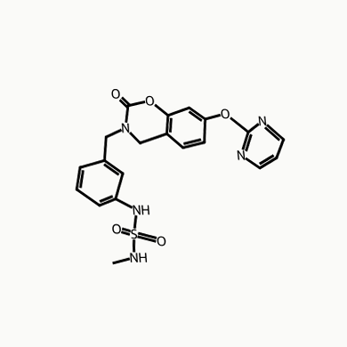 CNS(=O)(=O)Nc1cccc(CN2Cc3ccc(Oc4ncccn4)cc3OC2=O)c1